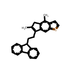 CC1=C(CCC2c3ccccc3-c3ccccc32)c2cc3sccc3c(C)c2C1